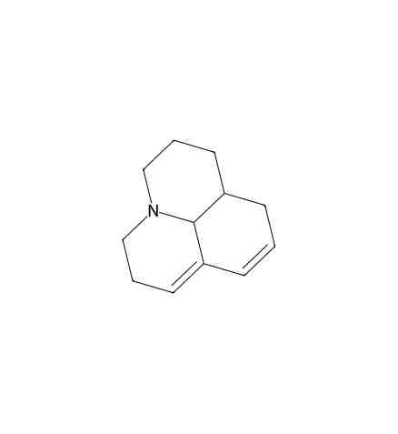 C1=CC2=CCCN3CCCC(C1)C23